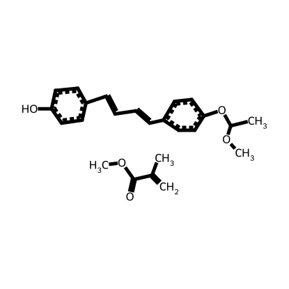 C=C(C)C(=O)OC.COC(C)Oc1ccc(C=CC=Cc2ccc(O)cc2)cc1